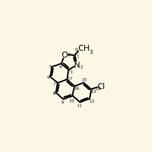 Cc1nc2c(ccc3ccc4ccc(Cl)cc4c32)o1